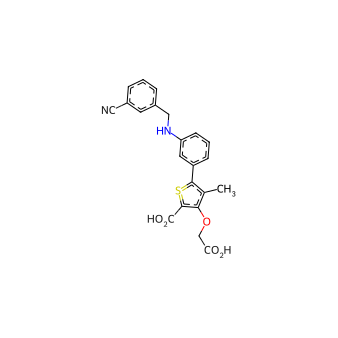 Cc1c(-c2cccc(NCc3cccc(C#N)c3)c2)sc(C(=O)O)c1OCC(=O)O